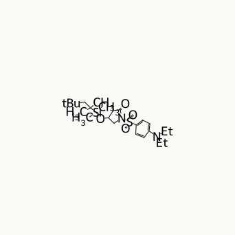 CCN(CC)c1ccc(S(=O)(=O)N2CC(O[Si](C)(C)C(C)(C)CC(C)(C)C)CC2=O)cc1